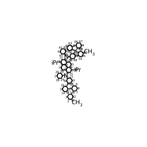 Cc1cccc(-c2ccccc2-c2ccccc2-c2cccc(N(c3ccccc3)c3cc(C(C)C)c4ccc5c(N(c6ccccc6)c6cccc(C7(c8cccc(C)c8)c8ccccc8-c8ccccc87)c6)cc(C(C)C)c6ccc3c4c65)c2)c1